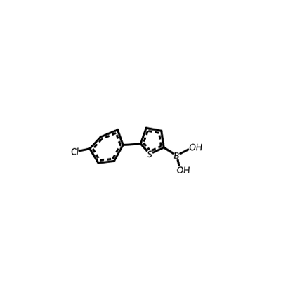 OB(O)c1ccc(-c2ccc(Cl)cc2)s1